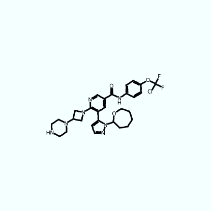 O=C(Nc1ccc(OC(F)(F)Cl)cc1)c1cnc(N2CC(N3CCNCC3)C2)c(-c2ccnn2C2CCCCCO2)c1